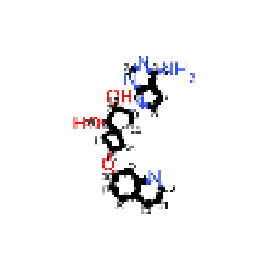 Nc1ncnc2c1ccn2[C@@H]1C[C@]2(C[C@H](Oc3ccc4cccnc4c3)C2)[C@@H](O)[C@H]1O